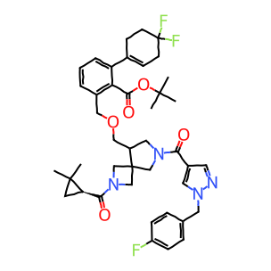 CC(C)(C)OC(=O)c1c(COCC2CN(C(=O)c3cnn(Cc4ccc(F)cc4)c3)CC23CN(C(=O)[C@H]2CC2(C)C)C3)cccc1C1=CCC(F)(F)CC1